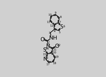 O=C(NCc1csc2ccccc12)n1sc2ncccc2c1=O